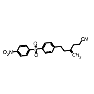 C=C(CCC#N)CCc1ccc(S(=O)(=O)c2ccc([N+](=O)[O-])cc2)cc1